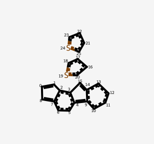 C1=Cc2c3c(ccc2=C1)=c1ccccc1=C3.c1ccsc1.c1ccsc1